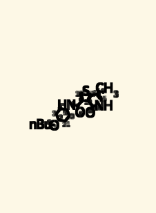 CCCCOC1CCC(NC(=O)c2csc3c(C)c[nH]c(=O)c23)CC1